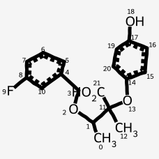 CC(OCc1cccc(F)c1)C(C)(Oc1ccc(O)cc1)C(=O)O